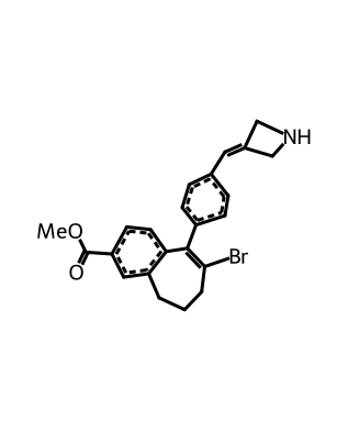 COC(=O)c1ccc2c(c1)CCCC(Br)=C2c1ccc(C=C2CNC2)cc1